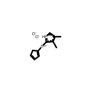 Cc1c[pH][c]([Zr+2][C]2=CC=CC2)c1C.[Cl-].[Cl-]